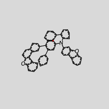 c1ccc(-c2cc(N(c3ccc4c(c3)oc3ccccc34)c3ccccc3-c3ccccc3)ccc2-c2ccc3ccc4oc5ccccc5c4c3c2)cc1